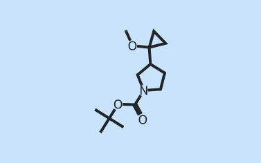 COC1(C2CCN(C(=O)OC(C)(C)C)C2)CC1